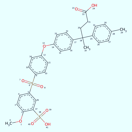 COc1ccc(S(=O)(=O)c2ccc(Oc3ccc(C(C)(CCC(=O)O)c4ccc(C)cc4)cc3)cc2)cc1S(=O)(=O)O